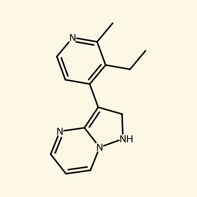 CCc1c(C2=C3N=CC=CN3NC2)ccnc1C